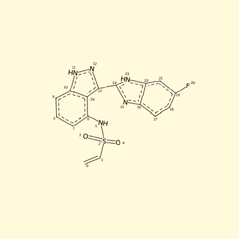 C=CS(=O)(=O)Nc1cccc2[nH]nc(-c3nc4ccc(F)cc4[nH]3)c12